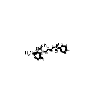 CCCc1nc2c(N)ncc(C)c2n1CCCCS(=O)(=O)c1ccccc1